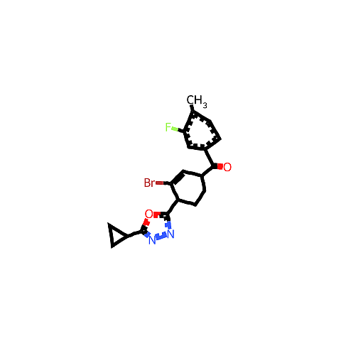 Cc1ccc(C(=O)C2C=C(Br)C(c3nnc(C4CC4)o3)CC2)cc1F